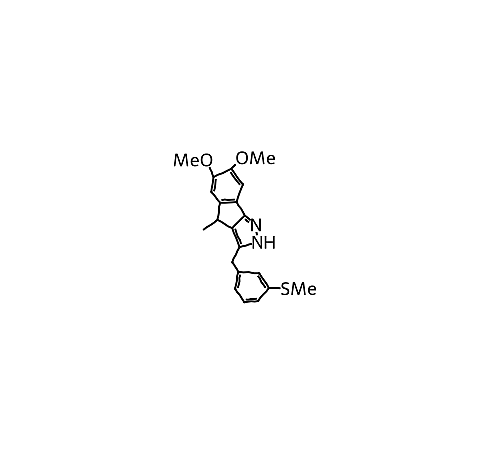 COc1cc2c(cc1OC)C(C)c1c-2n[nH]c1Cc1cccc(SC)c1